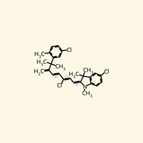 C=C(/C=C/C(Cl)=C/C=C1/N(C)c2ccc(Cl)cc2C1(C)C)C(C)(C)c1cc(Cl)ccc1C